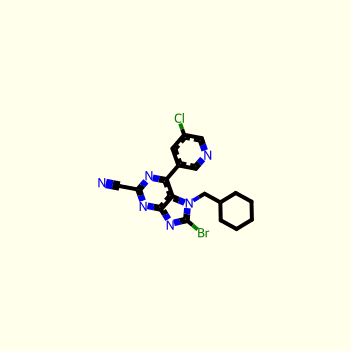 N#Cc1nc(-c2cncc(Cl)c2)c2c(n1)nc(Br)n2CC1CCCCC1